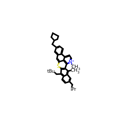 Cc1c2c(c(CC(C)(C)C)c3ccc(CC(C)C)cc13)Sc1cc3cc(CC4CCCC4)ccc3c3cc[n+](C)c-2c13